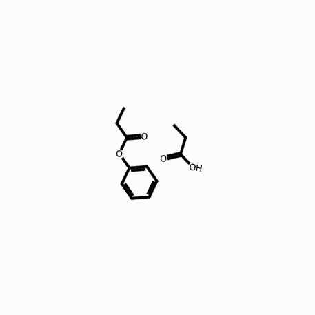 CCC(=O)O.CCC(=O)Oc1ccccc1